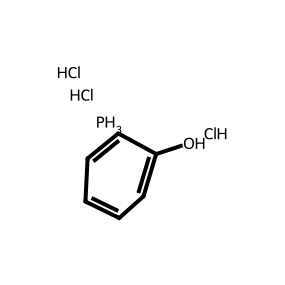 Cl.Cl.Cl.Oc1ccccc1.P